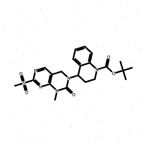 CN1C(=O)N(C2CCN(C(=O)OC(C)(C)C)c3ccccc32)Cc2cnc(S(C)(=O)=O)nc21